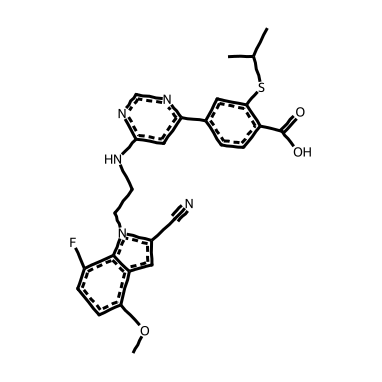 COc1ccc(F)c2c1cc(C#N)n2CCNc1cc(-c2ccc(C(=O)O)c(SC(C)C)c2)ncn1